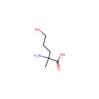 CC(N)(CCCO)C(=O)O